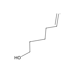 [CH]=CCCCCO